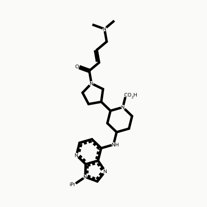 CC(C)n1cnc2c(NC3CCN(C(=O)O)C(C4CCN(C(=O)/C=C/CN(C)C)C4)C3)ccnc21